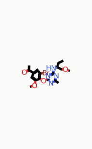 CCC(COC)Nc1nc(C)nc(Oc2c(Br)cc(C(C)=O)cc2OC)n1